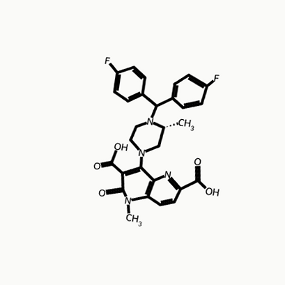 C[C@@H]1CN(c2c(C(=O)O)c(=O)n(C)c3ccc(C(=O)O)nc23)CCN1C(c1ccc(F)cc1)c1ccc(F)cc1